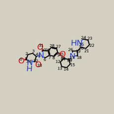 O=C1CCC(N2Cc3cc(O[C@@H]4CCCC[C@@H]4N4CC(C5CCCCN5)C4)ccc3C2=O)C(=O)N1